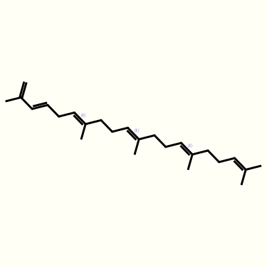 C=C(C)C=CC/C=C(\C)CC/C=C(\C)CC/C=C(\C)CCC=C(C)C